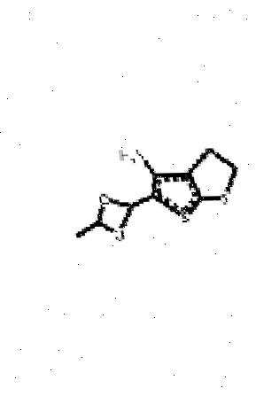 CC1OC(c2sc3c(c2N)CCS3)O1